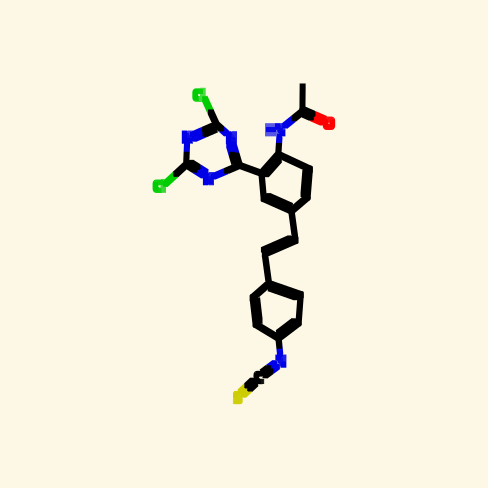 CC(=O)Nc1ccc(C=Cc2ccc(N=C=S)cc2)cc1-c1nc(Cl)nc(Cl)n1